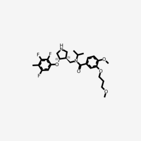 COCCCOc1cc(C(=O)N(C[C@@H]2CNC[C@H]2Oc2cc(F)c(C)c(F)c2F)C(C)C)ccc1OC